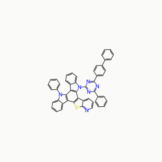 c1ccc(-c2ccc(-c3nc(-c4ccccc4)nc(-n4c5ccccc5c5c6c(c7ccccc7n6-c6ccccc6)c6sc7ncccc7c6c54)n3)cc2)cc1